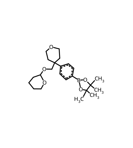 CC1(C)OB(c2ccc(C3(COC4CCCCO4)CCOCC3)cc2)OC1(C)C